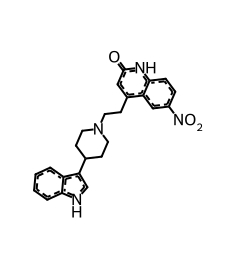 O=c1cc(CCN2CCC(c3c[nH]c4ccccc34)CC2)c2cc([N+](=O)[O-])ccc2[nH]1